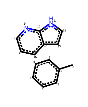 Cc1ccccc1.c1cnc2[nH]ccc2c1